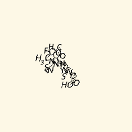 CCOC(=O)C1=C(CN2CCN3C(=S)N([C@@H]4CC[C@H](C(=O)O)C4)CC3C2)NC(c2nccs2)=NC1c1cccc(F)c1C